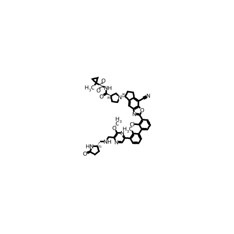 COc1nc(-c2cccc(-c3cccc(-c4nc5cc6c(c(C#N)c5o4)CC[C@H]6N4CC[C@@H](C(=O)NS(=O)(=O)C5(C)CC5)C4)c3Cl)c2C)cnc1CNC[C@@H]1CCC(=O)N1